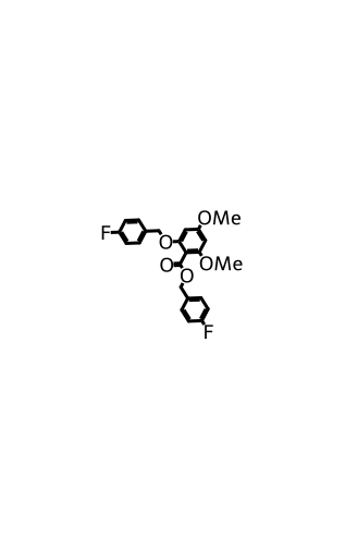 COc1cc(OC)c(C(=O)OCc2ccc(F)cc2)c(OCc2ccc(F)cc2)c1